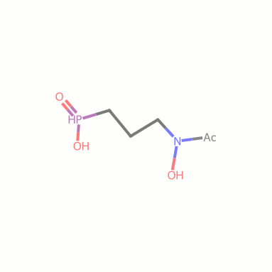 CC(=O)N(O)CCC[PH](=O)O